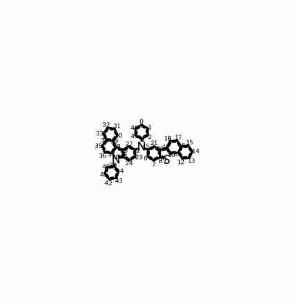 c1ccc(N(c2ccc3sc4c5ccccc5ccc4c3c2)c2ccc3c(c2)c2c4ccccc4ccc2n3-c2ccccc2)cc1